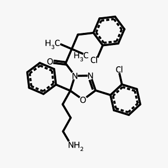 CC(C)(Cc1ccccc1Cl)C(=O)N1N=C(c2ccccc2Cl)OC1(CCCN)c1ccccc1